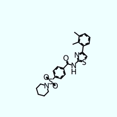 Cc1cccc(-c2csc(NC(=O)c3ccc(S(=O)(=O)N4CCCCC4)cc3)n2)c1C